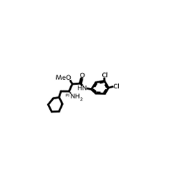 COC(C(=O)Nc1ccc(Cl)c(Cl)c1)[C@H](N)CC1CCCCC1